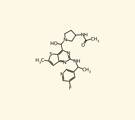 CC(=O)NC1CCN(C(O)c2nc(NC(C)c3cncc(F)c3)nc3cc(C)sc23)C1